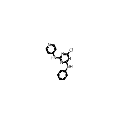 Clc1nc(Nc2ccccc2)nc(Nc2ccncc2)n1